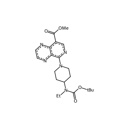 CCN(C(=O)OC(C)(C)C)C1CCN(c2ncc(C(=O)OC)c3nccnc23)CC1